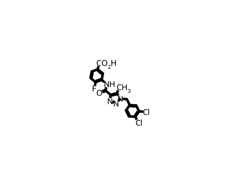 Cc1c(C(=O)Nc2cc(C(=O)O)ccc2F)nnn1Cc1ccc(Cl)c(Cl)c1